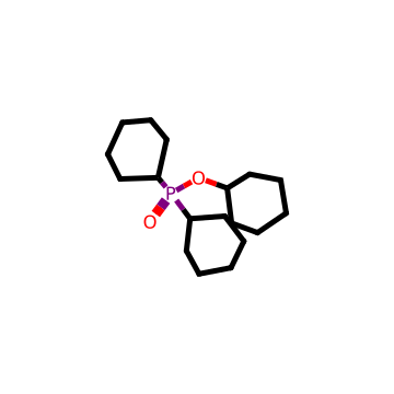 O=P(OC1CCCCC1)(C1CCCCC1)C1CCCCC1